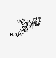 COc1ccc(C(=N)SC(C(=O)c2cccc(NS(=O)(=O)c3c(F)cccc3F)c2F)c2ccnc(Cl)n2)cn1